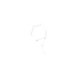 CC1C2C=CCCC12